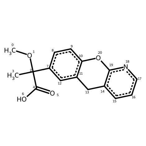 COC(C)(C(=O)O)c1ccc2c(c1)Cc1cccnc1O2